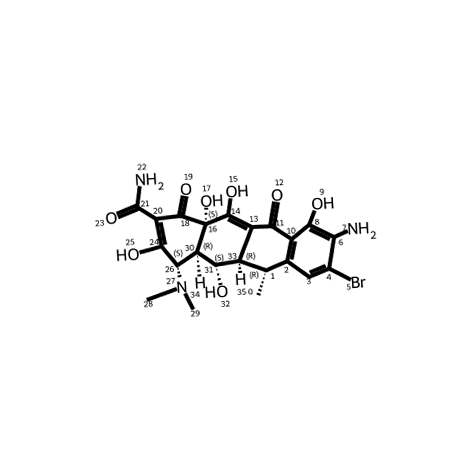 C[C@H]1c2cc(Br)c(N)c(O)c2C(=O)C2=C(O)[C@]3(O)C(=O)C(C(N)=O)=C(O)[C@@H](N(C)C)[C@@H]3[C@@H](O)[C@@H]21